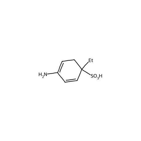 CCC1(S(=O)(=O)O)C=CC(N)=CC1